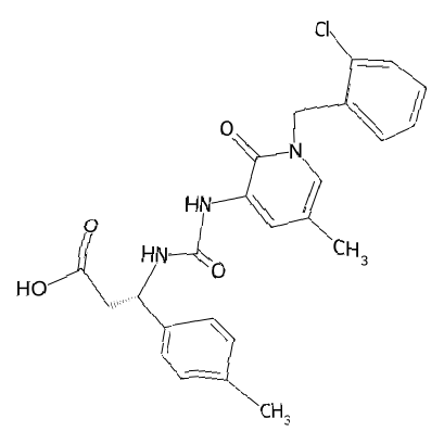 Cc1ccc([C@H](CC(=O)O)NC(=O)Nc2cc(C)cn(Cc3ccccc3Cl)c2=O)cc1